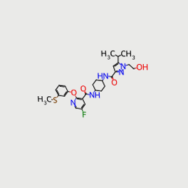 CSc1cccc(Oc2ncc(F)cc2C(=O)NC2CCC(NC(=O)c3cc(C(C)C)n(CCO)n3)CC2)c1